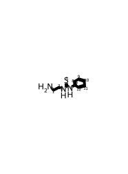 NCCNC(=S)Nc1ccccc1